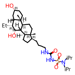 CC[C@H]1[C@@H](O)[C@@H]2[C@H](CC[C@]3(C)[C@@H](CCCNC(=O)NS(=O)(=O)N(C(C)C)C(C)C)CC[C@@H]23)[C@@]2(C)CC[C@@H](O)C[C@@H]12